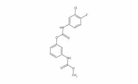 COC(=O)Nc1cccc(OC(=O)Nc2ccc(F)c(Cl)c2)c1